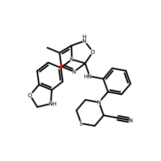 CC1=C2NOC(Nc3ccccc3N3CCSCC3C#N)(N=C1)N2c1ccc2c(c1)NCO2